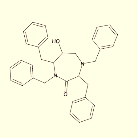 O=C1C(Cc2ccccc2)N(Cc2ccccc2)CC(O)C(Cc2ccccc2)N1Cc1ccccc1